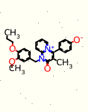 CCCOc1ccc(Cn2c(=O)c(C)c(-c3ccc([O-])cc3)[n+]3ccccc23)cc1OC